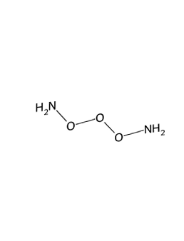 NOOON